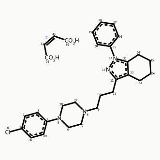 Clc1ccc(N2CCN(CCCc3nn(-c4ccccc4)c4c3CCCC4)CC2)cc1.O=C(O)/C=C\C(=O)O